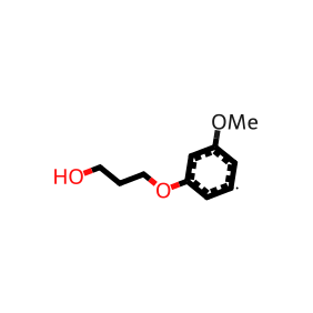 COc1c[c]cc(OCCCO)c1